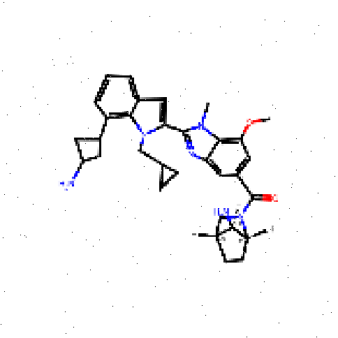 COc1cc(C(=O)N2C[C@H]3CC[C@@H]2[C@@H]3N)cc2nc(-c3cc4cccc(C5CC(N)C5)c4n3CC3CC3)n(C)c12